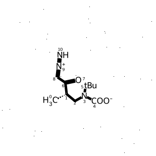 C[C@@H](CN(C(=O)[O-])C(C)(C)C)C(=O)C=[N+]=N